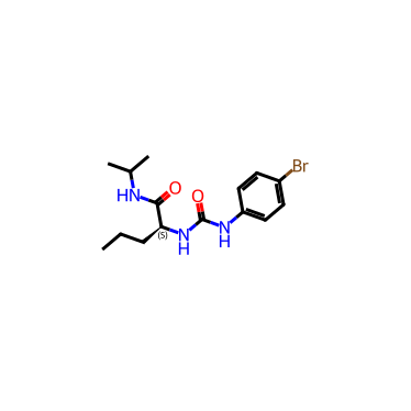 CCC[C@H](NC(=O)Nc1ccc(Br)cc1)C(=O)NC(C)C